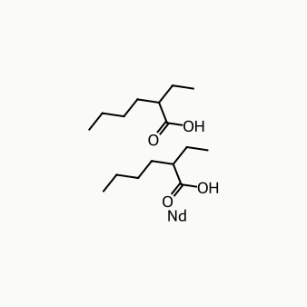 CCCCC(CC)C(=O)O.CCCCC(CC)C(=O)O.[Nd]